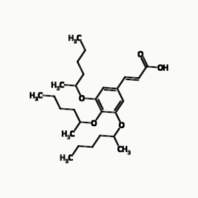 CCCCC(C)Oc1cc(C=CC(=O)O)cc(OC(C)CCCC)c1OC(C)CCCC